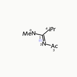 CN/C(=N/C(C)=O)C(C)C